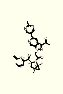 C=C/N=C(\C=C/C)C(=O)[C@@H]1C[C@@]2(C)C[C@H]2N1C(=O)Cn1nc(C(C)=O)c2cc(-c3cnc(C)nc3)ncc21